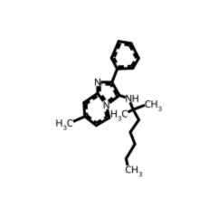 CCCCCC(C)(C)Nc1c(-c2ccccc2)nc2cc(C)ccn12